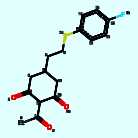 CCC(=O)C1C(=O)CC(CCSc2ccc(F)cc2)CC1=O